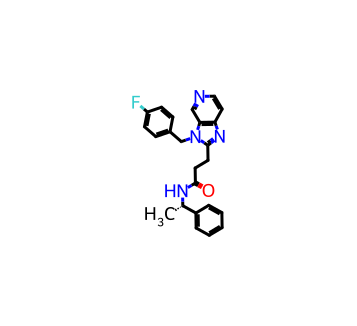 C[C@H](NC(=O)CCc1nc2ccncc2n1Cc1ccc(F)cc1)c1ccccc1